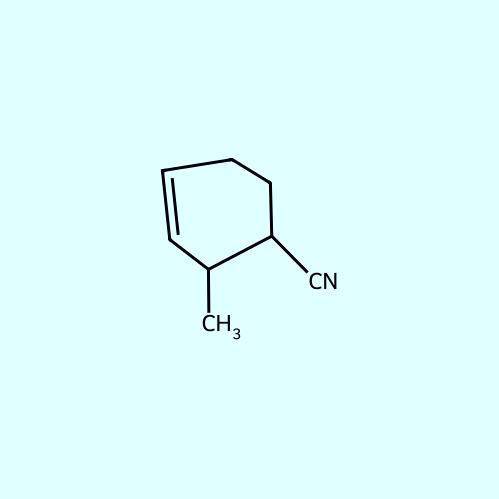 CC1C=CCCC1C#N